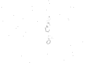 C[C@H]1C[C@@](O)(c2ccc(C(F)(F)F)cc2)C[C@@H](COc2cc(C(F)(F)F)c3nc(C4CC(C)(O)C4)cn3c2)N1